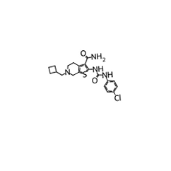 NC(=O)c1c(NC(=O)Nc2ccc(Cl)cc2)sc2c1CCN(CC1CCC1)C2